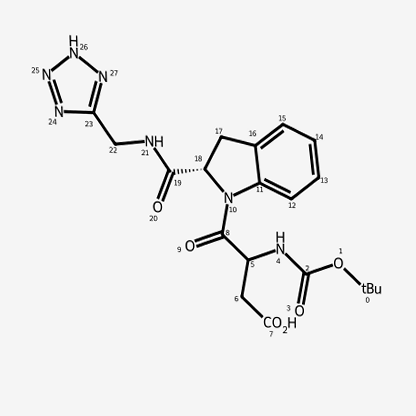 CC(C)(C)OC(=O)NC(CC(=O)O)C(=O)N1c2ccccc2C[C@H]1C(=O)NCc1nn[nH]n1